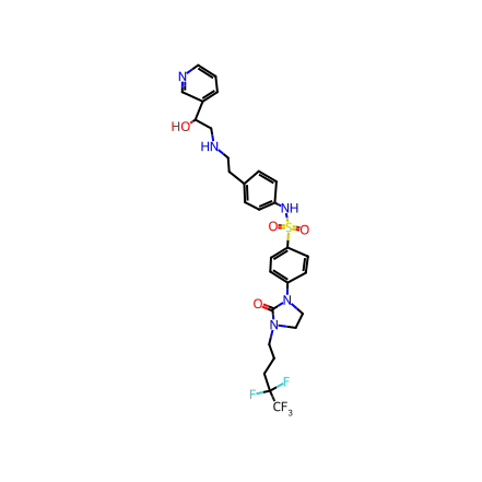 O=C1N(CCCC(F)(F)C(F)(F)F)CCN1c1ccc(S(=O)(=O)Nc2ccc(CCNCC(O)c3cccnc3)cc2)cc1